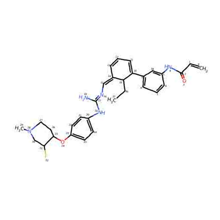 C=CC(=O)Nc1cccc(C2=CC=C/C(=C/N=C(\N)Nc3ccc(OC4CCN(C)CC4F)cc3)C2CC)c1